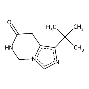 CC(C)(C)c1ncn2c1CC(=O)NC2